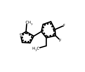 CCc1c(-c2ccsc2C)ccc(F)c1F